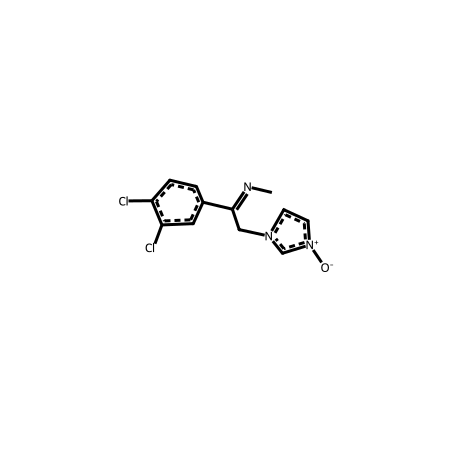 CN=C(Cn1cc[n+]([O-])c1)c1ccc(Cl)c(Cl)c1